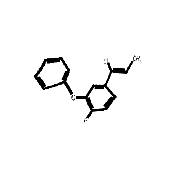 CC=C(Cl)c1ccc(F)c(Oc2ccccc2)c1